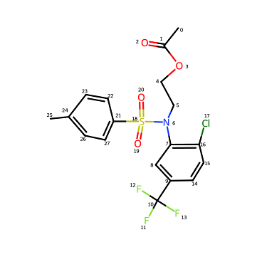 CC(=O)OCCN(c1cc(C(F)(F)F)ccc1Cl)S(=O)(=O)c1ccc(C)cc1